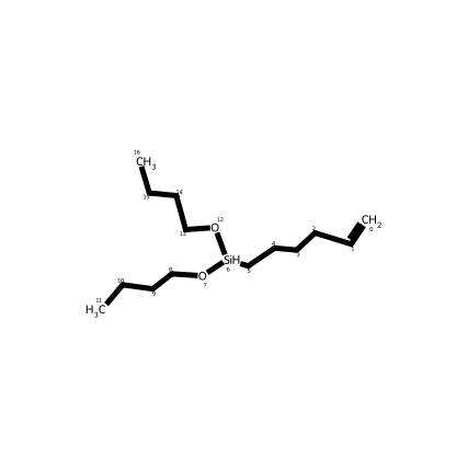 C=CCCCC[SiH](OCCCC)OCCCC